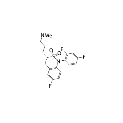 CNCCC[C@H]1Cc2cc(F)ccc2N(c2ccc(F)cc2F)S1(=O)=O